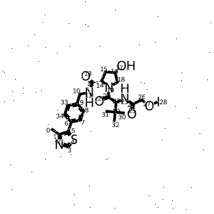 Cc1ncsc1-c1ccc(CNC(=O)[C@@H]2C[C@@H](O)CN2C(=O)C(NC(=O)COI)C(C)(C)C)cc1